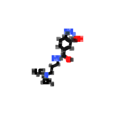 CN(C)CCCNC(=O)c1ccc(N)c(O)c1